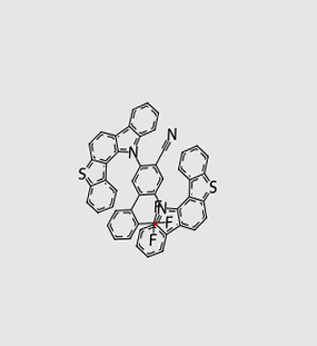 N#Cc1cc(-n2c3ccccc3c3ccc4sc5ccccc5c4c32)c(-c2ccccc2C(F)(F)F)cc1-n1c2ccccc2c2ccc3sc4ccccc4c3c21